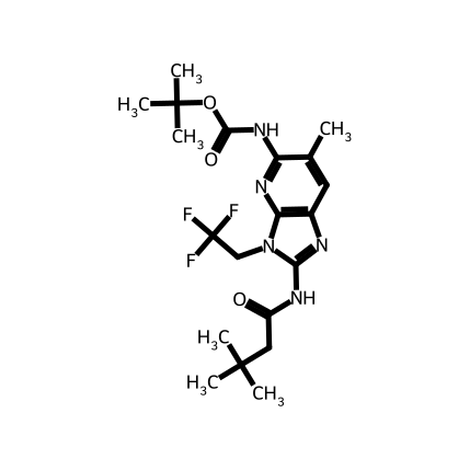 Cc1cc2nc(NC(=O)CC(C)(C)C)n(CC(F)(F)F)c2nc1NC(=O)OC(C)(C)C